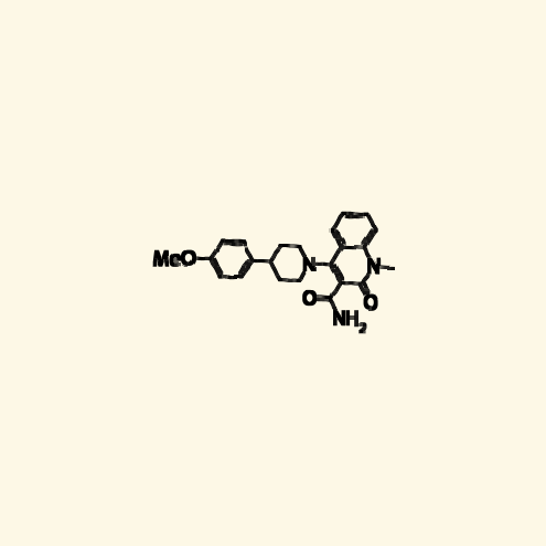 COc1ccc(C2CCN(c3c(C(N)=O)c(=O)n(C)c4ccccc34)CC2)cc1